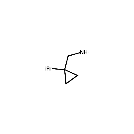 CC(C)C1(C[NH])CC1